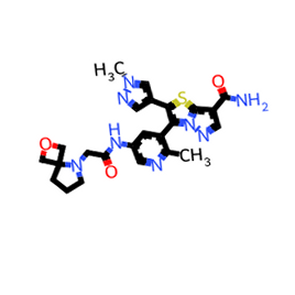 Cc1ncc(NC(=O)CN2CCCC23COC3)cc1-c1c(-c2cnn(C)c2)sc2c(C(N)=O)cnn12